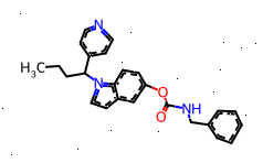 CCCC(c1ccncc1)n1ccc2cc(OC(=O)NCc3ccccc3)ccc21